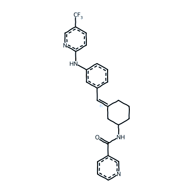 O=C(NC1CCC/C(=C\c2cccc(Nc3ccc(C(F)(F)F)cn3)c2)C1)c1cccnc1